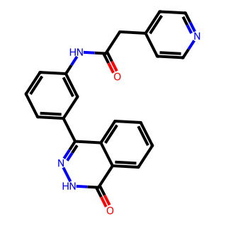 O=C(Cc1ccncc1)Nc1cccc(-c2n[nH]c(=O)c3ccccc23)c1